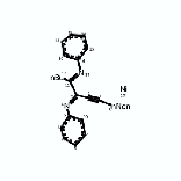 CCCCCCCCCC#CC(=N\c1ccccc1)/C(CCCC)=N/c1ccccc1.[Ni]